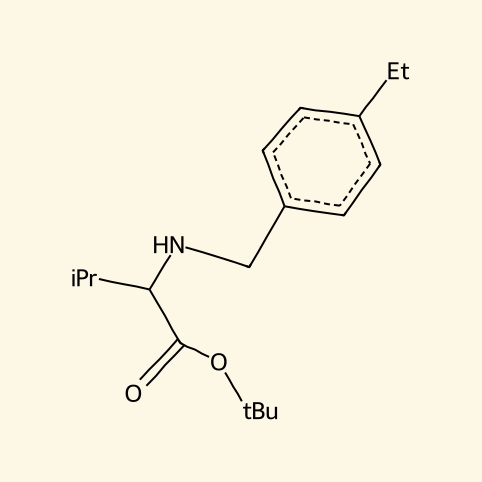 CCc1ccc(CNC(C(=O)OC(C)(C)C)C(C)C)cc1